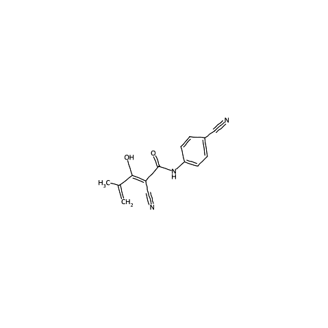 C=C(C)/C(O)=C(\C#N)C(=O)Nc1ccc(C#N)cc1